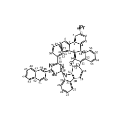 CC(C)c1ccc2c(c1)c1ccccc1c1c3sc4c(ccc5c6ccccc6n(-c6nc(-c7ccccc7)nc(-c7ccc8ccccc8c7)n6)c54)c3c3ccccc3c21